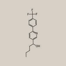 CCCCC(O)c1ccc(-c2ccc(C(F)(F)F)cc2)nc1